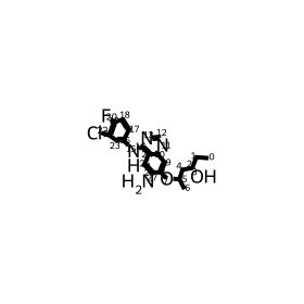 CCC(O)CC(C)Oc1cc2ncnc(Nc3ccc(F)c(Cl)c3)c2cc1N